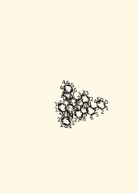 c1ccc(-c2ccc3c(c2)C2(c4cc(-n5c6ccccc6c6ccccc65)ccc4-3)c3ccccc3-c3c2ccc2sc4ccccc4c32)cc1